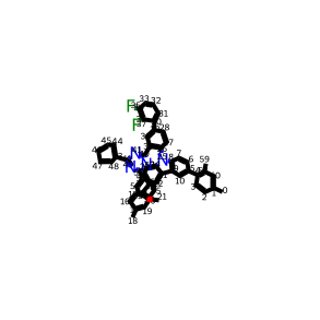 Cc1ccc(-c2ccc3c(c2)c2cc(-c4ccc(C)cc4C)ccc2n3-c2ccc(-c3cccc(F)c3F)cc2-c2nc(-c3ccccc3)nc(-c3ccccc3)n2)c(C)c1